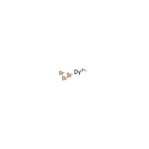 [Br-].[Br-].[Br-].[Dy+3]